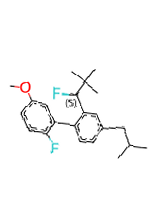 COc1ccc(F)c(-c2ccc(CC(C)C)cc2[C@@H](F)C(C)(C)C)c1